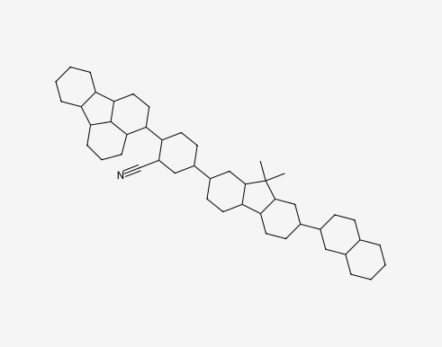 CC1(C)C2CC(C3CCC(C4CCC5C6CCCCC6C6CCCC4C65)C(C#N)C3)CCC2C2CCC(C3CCC4CCCCC4C3)CC21